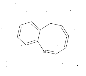 C1=C/C=N\c2ccccc2CC=1